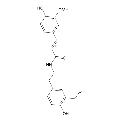 COc1cc(/C=C/C(=O)NCCc2ccc(O)c(CO)c2)ccc1O